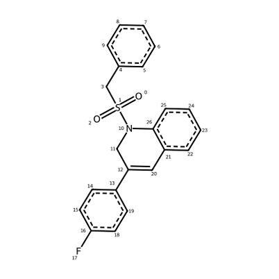 O=S(=O)(Cc1ccccc1)N1CC(c2ccc(F)cc2)=Cc2ccccc21